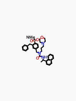 CNS(=O)(=O)c1ccc(CN(CCCN2CCOCC2)C(=O)NC(C)c2cccc3ccccc23)cc1Cc1ccccc1